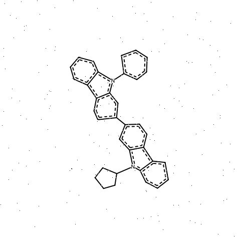 c1ccc(-n2c3ccccc3c3ccc(-c4ccc5c6ccccc6n(C6CCCC6)c5c4)cc32)cc1